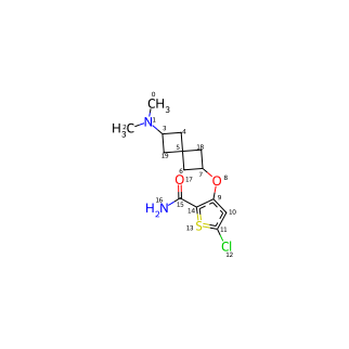 CN(C)C1CC2(CC(Oc3cc(Cl)sc3C(N)=O)C2)C1